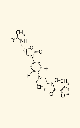 CCN(CCN(OC)C(=O)c1ccco1)c1c(F)cc(N2C[C@H](CNC(C)=O)OC2=O)cc1F